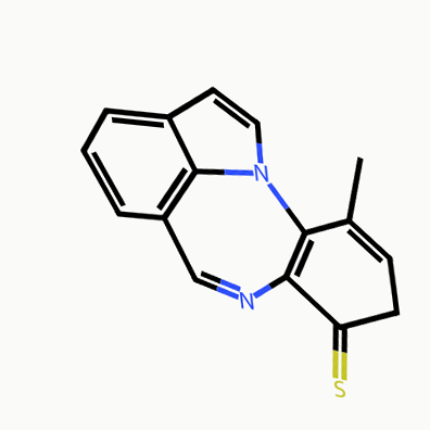 CC1=CCC(=S)C2=C1n1ccc3cccc(c31)C=N2